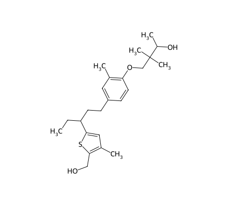 CCC(CCc1ccc(OCC(C)(C)C(C)O)c(C)c1)c1cc(C)c(CO)s1